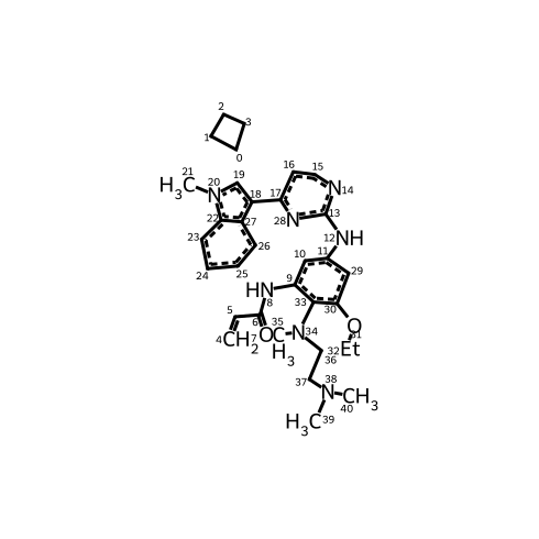 C1CCC1.C=CC(=O)Nc1cc(Nc2nccc(-c3cn(C)c4ccccc34)n2)cc(OCC)c1N(C)CCN(C)C